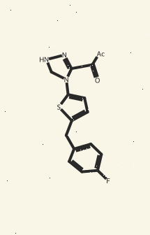 CC(=O)C(=O)C1=NNCN1c1ccc(Cc2ccc(F)cc2)s1